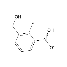 [O-][NH+](O)c1cccc(CO)c1F